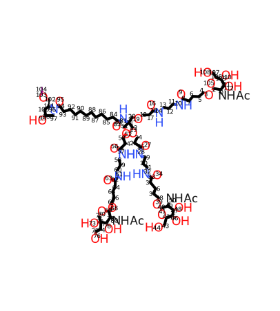 CC(=O)NC1C(OCCCCC(=O)NCCCNC(=O)CCOCC(COCCC(=O)NCCCNC(=O)CCCCOC2OC(CO)C(O)C(O)C2NC(C)=O)(COCCC(=O)NCCCNC(=O)CCCCOC2OCC(O)(CCO)C(O)C2NC(C)=O)NC(=O)CCCCCCCCCCC(=O)N2C[C@H](O)C[C@H]2COI)OC(CO)C(O)C1O